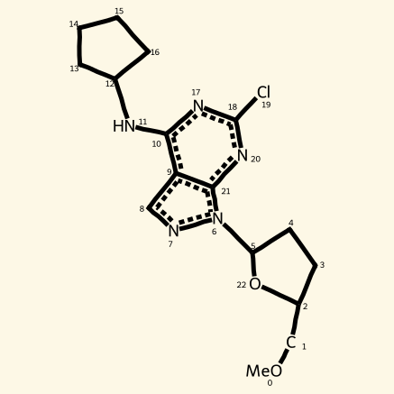 COCC1CCC(n2ncc3c(NC4CCCC4)nc(Cl)nc32)O1